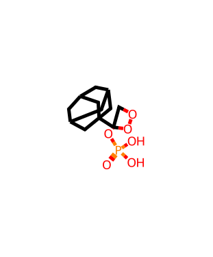 O=P(O)(O)OC1(C23CC4CC(CC(C4)C2)C3)COO1